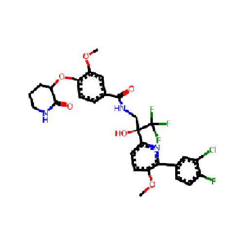 COc1cc(C(=O)NC[C@@](O)(c2ccc(OC)c(-c3ccc(F)c(Cl)c3)n2)C(F)(F)F)ccc1OC1CCCNC1=O